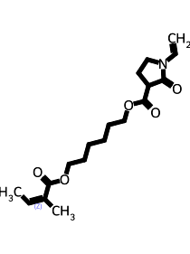 C=CN1CCC(C(=O)OCCCCCCOC(=O)/C(C)=C\C)C1=O